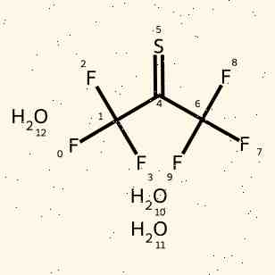 FC(F)(F)C(=S)C(F)(F)F.O.O.O